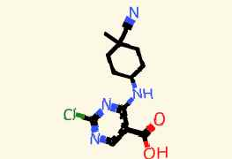 CC1(C#N)CCC(Nc2nc(Cl)ncc2C(=O)O)CC1